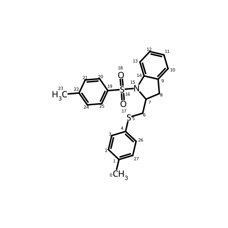 Cc1ccc(SCC2Cc3ccccc3N2S(=O)(=O)c2ccc(C)cc2)cc1